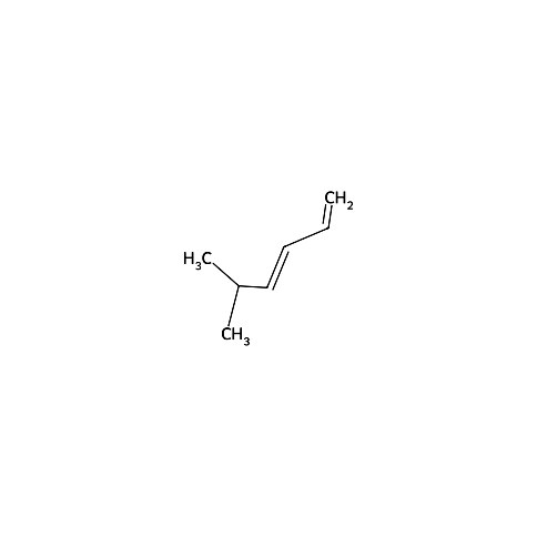 C=CC=CC(C)C